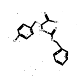 O=C(N[C@H](Cc1ccc(Cl)cc1)C(=O)O)OCc1ccccc1